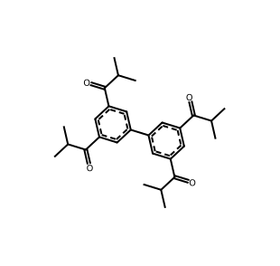 CC(C)C(=O)c1cc(C(=O)C(C)C)cc(-c2cc(C(=O)C(C)C)cc(C(=O)C(C)C)c2)c1